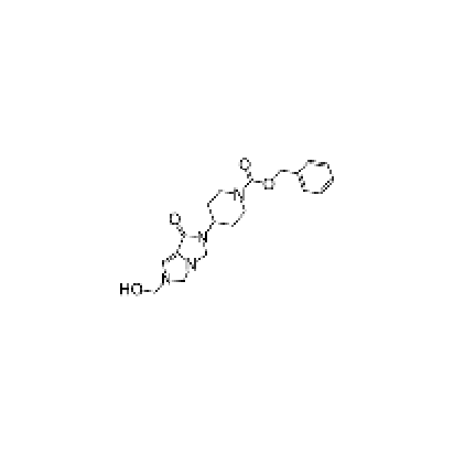 O=C(OCc1ccccc1)N1CCC(N2CN3CN(CO)C=C3C2=O)CC1